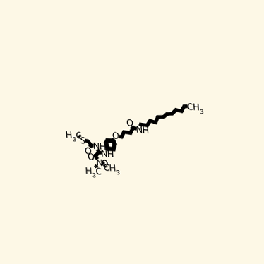 CCCCCCCCCCCCNC(=O)CCCOc1ccc(NC(NC(=O)CSC)C(=O)N(CC)OC)cc1